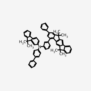 CC1(C)c2ccccc2-c2ccc(N(c3ccc(-c4ccccc4)cc3)c3cccc(-c4cc(-c5ccccc5)cc5c4-c4cc6c(cc4C5(C)C)-c4ccccc4C6(C)C)c3)cc21